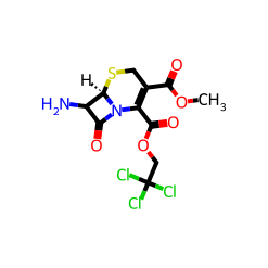 COC(=O)C1=C(C(=O)OCC(Cl)(Cl)Cl)N2C(=O)C(N)[C@H]2SC1